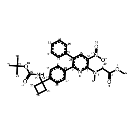 COC(=O)CN(C)c1nc(-c2ccc(C3(NC(=O)OC(C)(C)C)CCC3)cc2)c(-c2ccccc2)cc1[N+](=O)[O-]